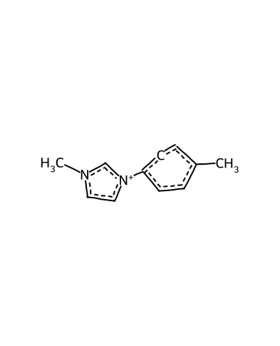 Cc1ccc(-[n+]2ccn(C)c2)cc1